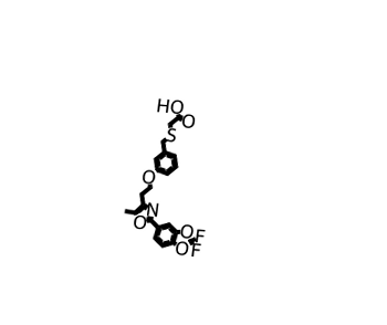 Cc1oc(-c2ccc3c(c2)OC(F)(F)O3)nc1CCOc1cccc(CSCC(=O)O)c1